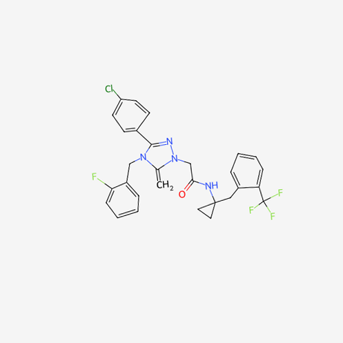 C=C1N(CC(=O)NC2(Cc3ccccc3C(F)(F)F)CC2)N=C(c2ccc(Cl)cc2)N1Cc1ccccc1F